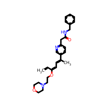 C=C/C(=C\C=C(/C)c1ccc(CC(=O)NCc2ccccc2)nc1)OCCN1CCOCC1